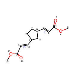 COC(=O)/C=C/C1CCC(/C=C/C(=O)OC)C1